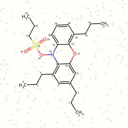 CCCc1cc(CCC)c2c(c1)Oc1c(CCC)cccc1N2OS(=O)(=O)CCC